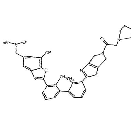 CCCN(CC)Cc1cc(C#N)c2oc(-c3cccc(-c4cccc(-c5nc6c(s5)CN(C(=O)CN5CCCC5)C6)c4C)c3C)nc2c1